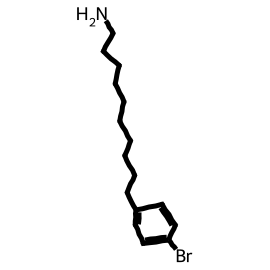 NCCCCCCCCCCc1ccc(Br)cc1